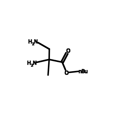 CCCCOC(=O)C(C)(N)CN